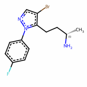 C[C@H](N)CCc1c(Br)cnn1-c1ccc(F)cc1